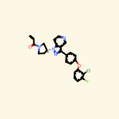 C=CC(=O)N1CC[C@@H](n2nc(-c3ccc(Oc4cccc(F)c4Cl)cc3)c3cnccc32)C1